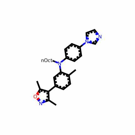 CCCCCCCCN(c1ccc(-n2ccnc2)cc1)c1cc(-c2c(C)noc2C)ccc1C